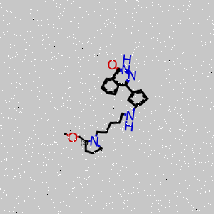 COC[C@@H]1CCCN1CCCCCNc1cccc(-c2n[nH]c(=O)c3ccccc23)c1